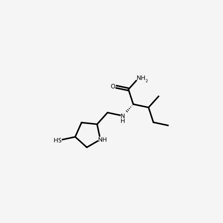 CCC(C)[C@H](NCC1CC(S)CN1)C(N)=O